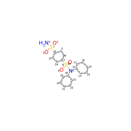 NS(=O)(=O)c1ccc(S(=O)(=O)N(c2ccccc2)c2ccccc2)cc1